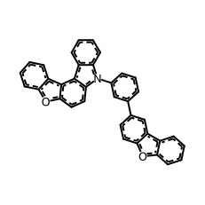 c1cc(-c2ccc3oc4ccccc4c3c2)cc(-n2c3ccccc3c3c4c(ccc32)oc2ccccc24)c1